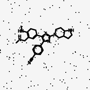 CNCC1=C(NC)CCC(c2sc(N3CCC4NCCC4C3)nc2-c2ccc(C#N)cc2)=C1